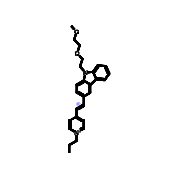 CCC[n+]1ccc(/C=C/c2ccc3c(c2)c2ccccc2n3CCOCCOC)cc1